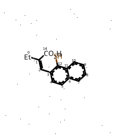 CCC(=Cc1ccc2ccccc2c1S)C(=O)O